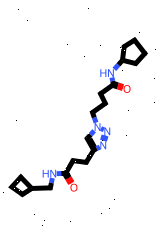 O=C(CCc1cn(CCCC(=O)NC2CCCC2)nn1)NCC1CCC1